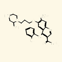 CCc1ccccc1Nc1c(C(N)=O)cnc2cc(OC)c(OCCCN3CCNCC3O)cc12